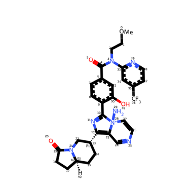 COCCN(C(=O)c1ccc(C2=NC([C@@H]3CC[C@H]4CCC(=O)N4C3)=C3C=NC=C[N+]23N)c(O)c1)c1cc(C(F)(F)F)ccn1